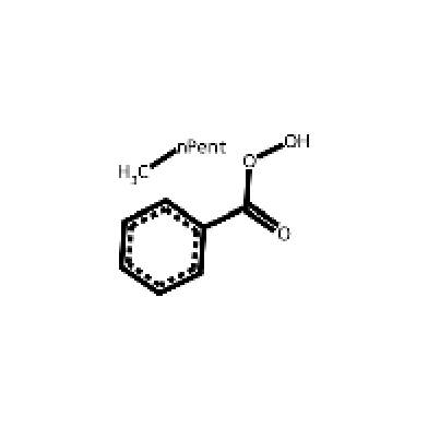 CCCCCC.O=C(OO)c1ccccc1